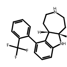 FC(F)(F)c1ccccc1-c1cccc2c1[C@@H]1CCNCC[C@@H]1N2